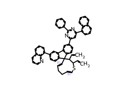 C=CC1S/C=C/CC/C=C/C2(c3ccc(-c4cc(-c5cccc6ccccc56)nc(-c5ccccc5)n4)cc3-c3cc(-c4cccc5cccnc45)ccc32)C1C=C